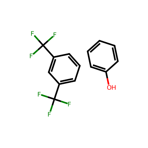 FC(F)(F)c1cccc(C(F)(F)F)c1.Oc1ccccc1